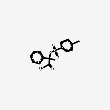 Cc1ccc(S(=O)(=O)OC(C)(C(N)=O)c2ccccc2)cc1